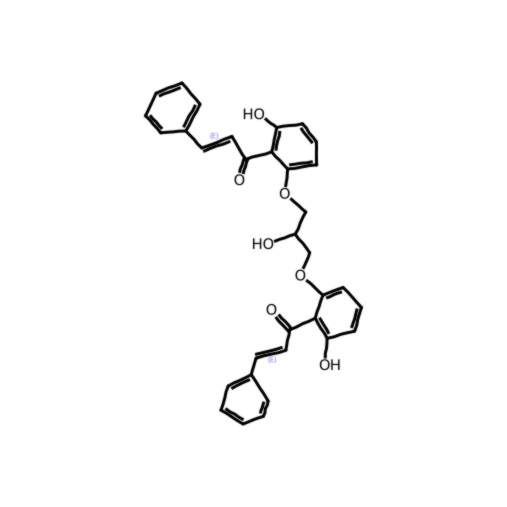 O=C(/C=C/c1ccccc1)c1c(O)cccc1OCC(O)COc1cccc(O)c1C(=O)/C=C/c1ccccc1